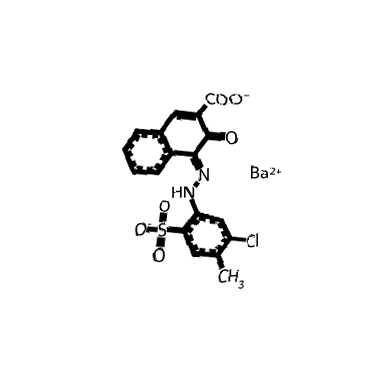 Cc1cc(S(=O)(=O)[O-])c(N/N=C2/C(=O)C(C(=O)[O-])=Cc3ccccc32)cc1Cl.[Ba+2]